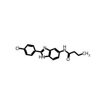 CCCC(=O)Nc1ccc2[nH]c(-c3ccc(Cl)cc3)nc2c1